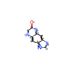 O=C1C=Nc2cc3c(cc2=N1)N=CN=3